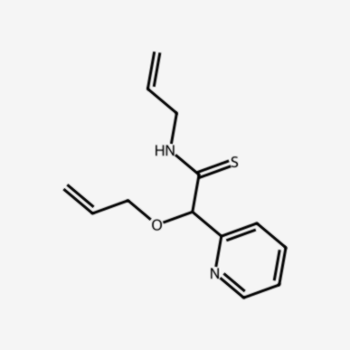 C=CCNC(=S)C(OCC=C)c1ccccn1